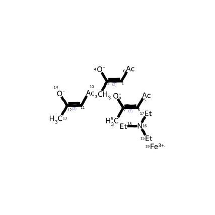 CC(=O)/C=C(/C)[O-].CC(=O)/C=C(/C)[O-].CC(=O)/C=C(/C)[O-].CCN(CC)CC.[Fe+3]